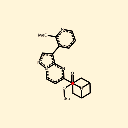 COc1ncccc1-c1cnn2ccc(N3CC4CC(C3)N4C(=O)OC(C)(C)C)nc12